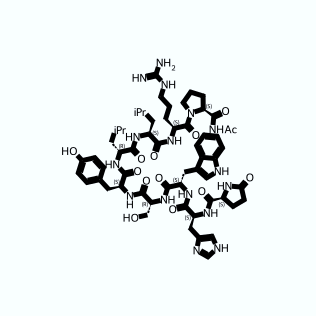 CC(=O)NC(=O)[C@@H]1CCCN1C(=O)[C@H](CCCNC(=N)N)NC(=O)[C@H](CC(C)C)NC(=O)[C@@H](CC(C)C)NC(=O)[C@H](Cc1ccc(O)cc1)NC(=O)[C@@H](CO)NC(=O)[C@H](Cc1c[nH]c2ccccc12)NC(=O)[C@H](Cc1c[nH]cn1)NC(=O)[C@@H]1CCC(=O)N1